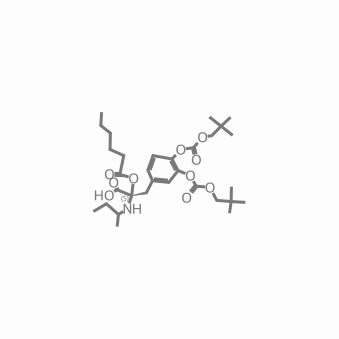 CCCCCC(=O)O[C@](Cc1ccc(OC(=O)OCC(C)(C)C)c(OC(=O)OCC(C)(C)C)c1)(NC(C)CC)C(=O)O